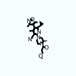 COCCC(=O)N1CCN(c2nc(C3CC3)c(-c3c(C)noc3C)c(C)c2C#N)C[C@H]1C